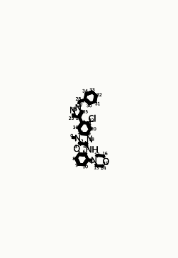 Cn1c(=O)c(Nc2ccccc2N2CCOCC2)nc2cc(Cl)c(-c3cnn(Cc4ccccc4)c3)cc21